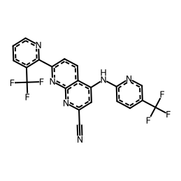 N#Cc1cc(Nc2ccc(C(F)(F)F)cn2)c2ccc(-c3ncccc3C(F)(F)F)nc2n1